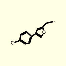 [CH2]Cc1cc(-c2ccc(Cl)cc2)co1